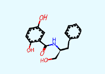 O=C(N[C@H](CO)Cc1ccccc1)c1cc(O)ccc1O